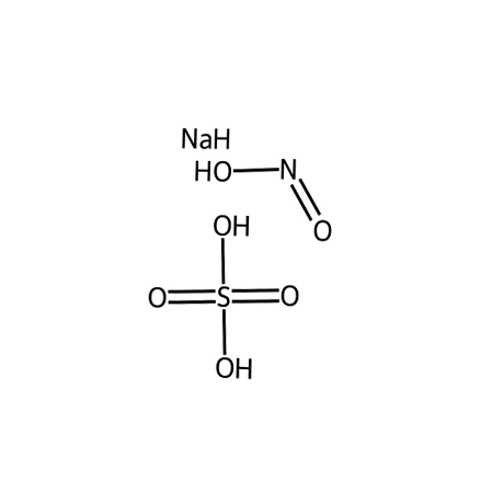 O=NO.O=S(=O)(O)O.[NaH]